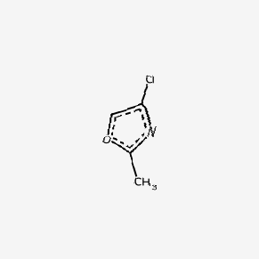 Cc1nc(Cl)co1